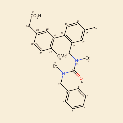 CCN(Cc1ccccc1)C(=O)N(CC)Cc1cc(C)ccc1-c1cc(CC(=O)O)ccc1OC